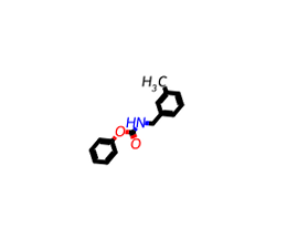 Cc1cccc(CNC(=O)Oc2ccccc2)c1